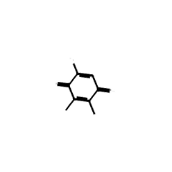 CC1=C(C)C(=O)C(N)=CC1=N